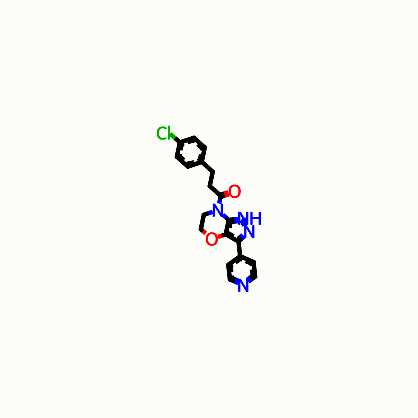 O=C(CCc1ccc(Cl)cc1)N1CCOc2c(-c3ccncc3)n[nH]c21